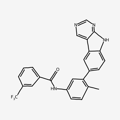 Cc1ccc(NC(=O)c2cccc(C(F)(F)F)c2)cc1-c1ccc2[nH]c3ncncc3c2c1